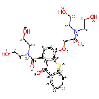 O=C(COc1ccc(C(=O)N(CCO)CCO)c2c(=O)c3ccccc3sc12)N(CCO)CCO